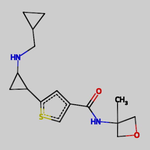 CC1(NC(=O)c2csc(C3CC3NCC3CC3)c2)COC1